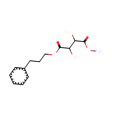 NOC(=O)C(O)C(O)C(=O)OCCCc1ccccc1